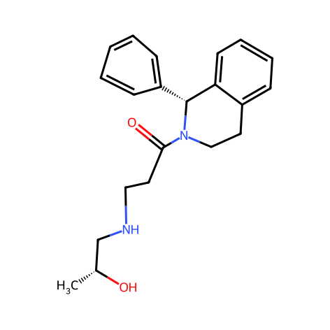 C[C@@H](O)CNCCC(=O)N1CCc2ccccc2[C@H]1c1ccccc1